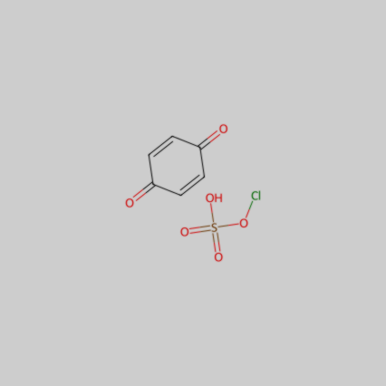 O=C1C=CC(=O)C=C1.O=S(=O)(O)OCl